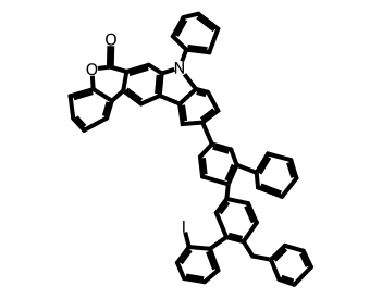 O=c1oc2ccccc2c2cc3c4cc(-c5ccc(-c6ccc(Cc7ccccc7)c(-c7ccccc7I)c6)c(-c6ccccc6)c5)ccc4n(-c4ccccc4)c3cc12